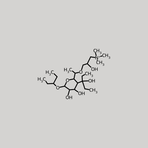 CCC(CC)OC1OC(C(C)OCC(O)C[N+](C)(C)C)C(C(O)(CC)CC)C(O)C1O